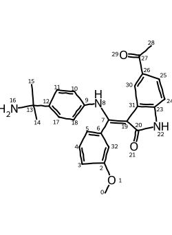 COc1cccc(/C(Nc2ccc(C(C)(C)N)cc2)=C2\C(=O)Nc3ccc(C(C)=O)cc32)c1